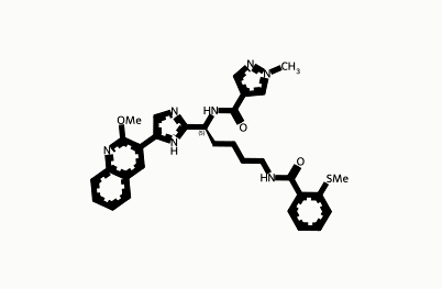 COc1nc2ccccc2cc1-c1cnc([C@H](CCCCNC(=O)c2ccccc2SC)NC(=O)c2cnn(C)c2)[nH]1